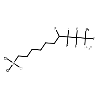 CC(C)C(F)(C(=O)O)C(F)(F)C(F)(F)C(F)CCCCCC[Si](Cl)(Cl)Cl